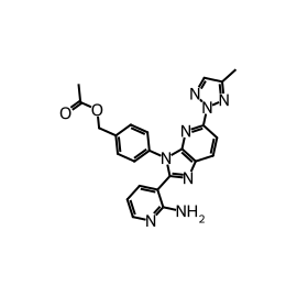 CC(=O)OCc1ccc(-n2c(-c3cccnc3N)nc3ccc(-n4ncc(C)n4)nc32)cc1